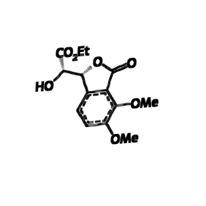 CCOC(=O)[C@@H](O)[C@@H]1OC(=O)c2c1ccc(OC)c2OC